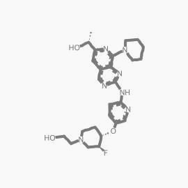 C[C@@H](O)c1cc2cnc(Nc3ccc(O[C@H]4CCN(CCO)C[C@@H]4F)cn3)nc2c(N2CCCCC2)n1